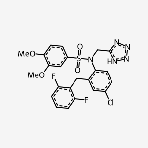 COc1ccc(S(=O)(=O)N(Cc2nnn[nH]2)c2ccc(Cl)cc2Cc2c(F)cccc2F)cc1OC